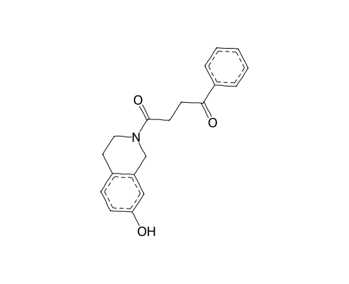 O=C(CCC(=O)N1CCc2ccc(O)cc2C1)c1ccccc1